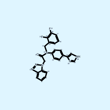 O=C(Cn1nnc2ccccc21)N(Cc1cccc(F)c1F)c1ccc(-c2c[nH]cn2)cc1